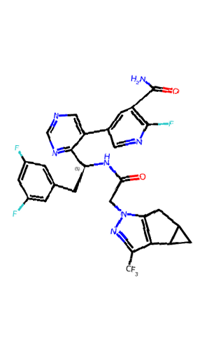 NC(=O)c1cc(-c2cncnc2[C@H](Cc2cc(F)cc(F)c2)NC(=O)Cn2nc(C(F)(F)F)c3c2CC2CC32)cnc1F